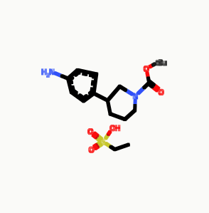 CC(C)(C)OC(=O)N1CCCC(c2ccc(N)cc2)C1.CCS(=O)(=O)O